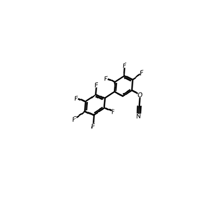 N#COc1cc(-c2c(F)c(F)c(F)c(F)c2F)c(F)c(F)c1F